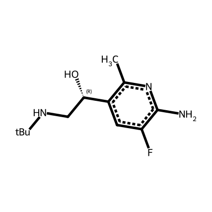 Cc1nc(N)c(F)cc1[C@@H](O)CNC(C)(C)C